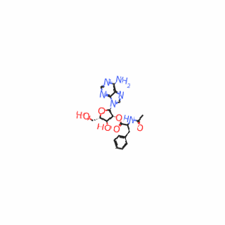 CC(=O)NC(Cc1ccccc1)C(=O)O[C@@H]1[C@@H](O)[C@H](CO)O[C@@H]1n1cnc2c(N)ncnc21